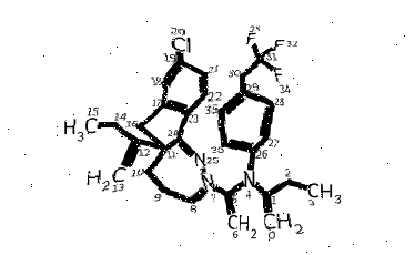 C=C(CC)N(C(=C)N1CCCC2(C(=C)CC)Cc3cc(Cl)ccc3C2=N1)c1ccc(CC(F)(F)F)cc1